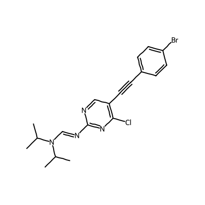 CC(C)N(C=Nc1ncc(C#Cc2ccc(Br)cc2)c(Cl)n1)C(C)C